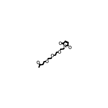 CC(=O)CCOCCOCCOCCN1C(=O)C=CC1=O